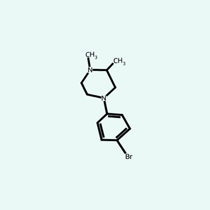 CC1CN(c2ccc(Br)cc2)CCN1C